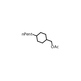 CCCCCC1CCC(COC(C)=O)CC1